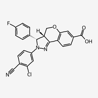 N#Cc1ccc(N2N=C3c4ccc(C(=O)O)cc4OC[C@H]3[C@H]2c2ccc(F)cc2)cc1Cl